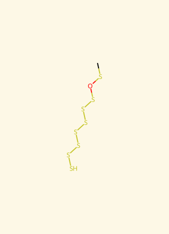 CSOSSSSSSS